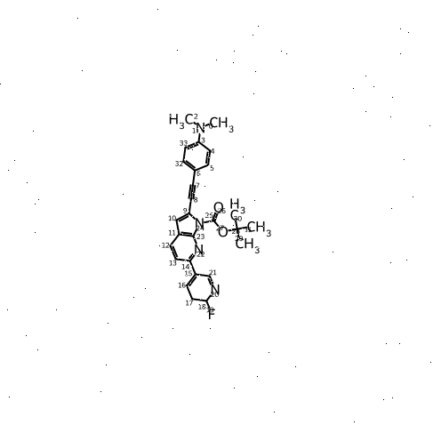 CN(C)c1ccc(C#Cc2cc3ccc(C4=CCC(F)N=C4)nc3n2C(=O)OC(C)(C)C)cc1